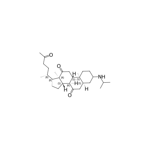 CC(=O)CC[C@@H](C)[C@H]1CC[C@H]2[C@@H]3C(=O)C[C@@H]4CC(NC(C)C)CC[C@]4(C)[C@H]3CC(=O)[C@]12C